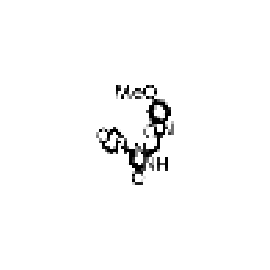 COc1ccc2nc(Cc3nc(N4CCOCC4)cc(=O)[nH]3)oc2c1